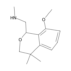 CNCC1OCC(C)(C)c2cccc(OC)c21